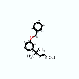 CCCCCCCCC=CC(C)(C)c1cccc(OCc2ccccc2)c1